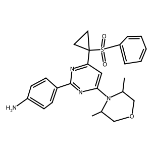 CC1COCC(C)N1c1cc(C2(S(=O)(=O)c3ccccc3)CC2)nc(-c2ccc(N)cc2)n1